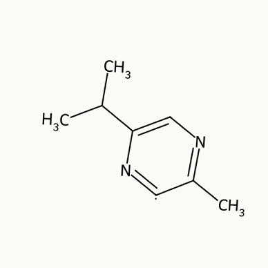 Cc1[c]nc(C(C)C)cn1